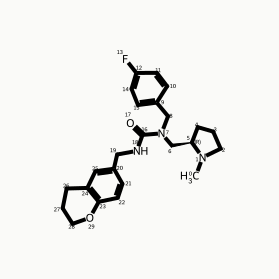 CN1CCC[C@@H]1CN(Cc1ccc(F)cc1)C(=O)NCc1ccc2c(c1)CCCO2